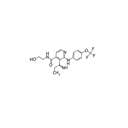 CCC(=N)c1c(C(=O)NCCO)ccnc1Nc1ccc(OC(F)(F)F)cc1